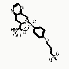 CS(=O)(=O)CCCOc1ccc(S(=O)(=O)N2Cc3nccnc3CC2C(=O)NO)cc1